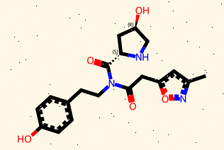 Cc1cc(CC(=O)N(CCc2ccc(O)cc2)C(=O)[C@@H]2C[C@@H](O)CN2)on1